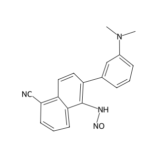 CN(C)c1cccc(-c2ccc3c(C#N)cccc3c2NN=O)c1